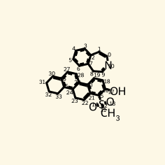 C1=Cc2ccccc2CC=N1.CS(=O)(=O)c1c(O)ccc2c1=CCc1c3c(ccc1=2)=CCCC3